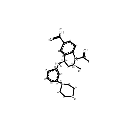 CC(=O)N1c2ccc(C(=O)O)cc2[C@H](Nc2cccc(N3CCOCC3)c2)C[C@@H]1C